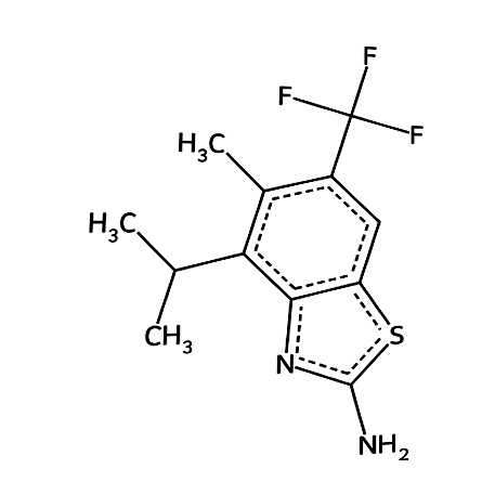 Cc1c(C(F)(F)F)cc2sc(N)nc2c1C(C)C